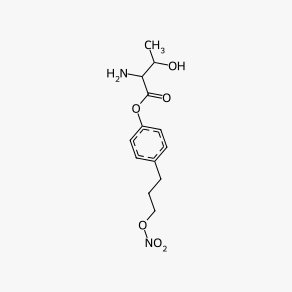 CC(O)C(N)C(=O)Oc1ccc(CCCO[N+](=O)[O-])cc1